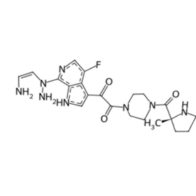 C[C@]1(C(=O)N2CCN(C(=O)C(=O)c3c[nH]c4c(N(N)/C=C\N)ncc(F)c34)CC2)CCCN1